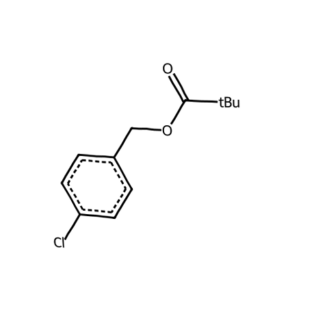 CC(C)(C)C(=O)OCc1ccc(Cl)cc1